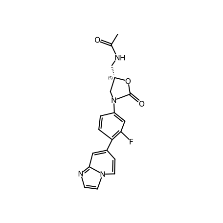 CC(=O)NC[C@H]1CN(c2ccc(-c3ccn4ccnc4c3)c(F)c2)C(=O)O1